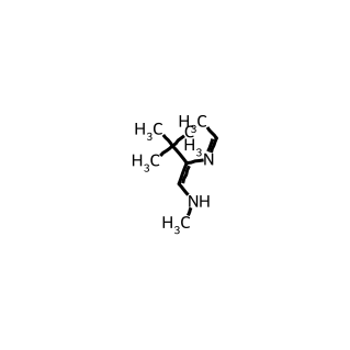 C/C=N\C(=C/NC)C(C)(C)C